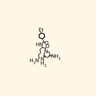 CCc1ccc(C(=O)NC(CCCCN)C(=O)N2C[C@H](N)C[C@H](N)C2)cc1